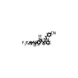 N#Cc1ccc(CCN[C@H](C(=O)c2c[nH]c3cc(C(=O)NC4CN(CC(F)(F)F)C4)ccc23)c2ccccc2)cc1